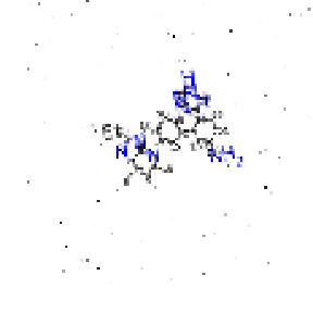 CCc1nc2c(C)cc(C)nc2n1Cc1ccc(-c2cc(N)ccc2-c2nn[nH]n2)cc1